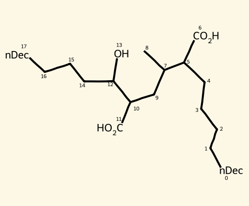 CCCCCCCCCCCCCCC(C(=O)O)C(C)CC(C(=O)O)C(O)CCCCCCCCCCCCC